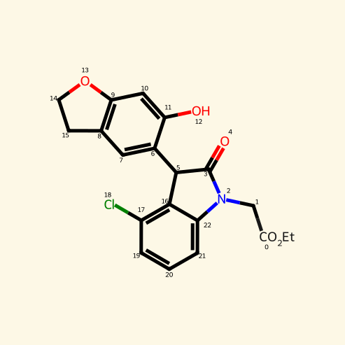 CCOC(=O)CN1C(=O)C(c2cc3c(cc2O)OCC3)c2c(Cl)cccc21